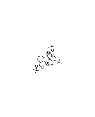 C[SiH](C)O[C@]1(C(O)C2CCCN(C(=O)OC(C)(C)C)C2=O)C[C@H](C(C)(C)C)CN1C(=O)OC(C)(C)C